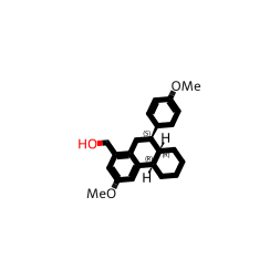 COC1=CCC([C@@H]2Cc3c(CO)cc(OC)cc3[C@@H]3CCCC[C@@H]32)C=C1